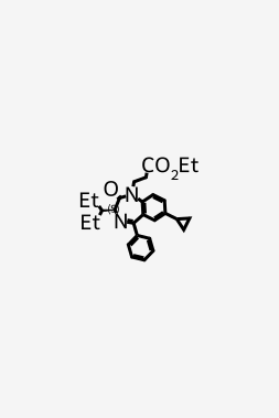 CCOC(=O)CCN1C(=O)[C@H](C(CC)CC)N=C(c2ccccc2)c2cc(C3CC3)ccc21